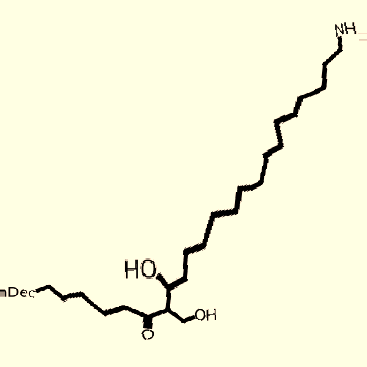 CCCCCCCCCCCCCCCC(=O)C(CO)C(O)CCCCCCCCCCCCCCCN